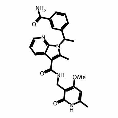 COc1cc(C)[nH]c(=O)c1CNC(=O)c1c(C)n(C(C)c2cccc(C(N)=O)c2)c2ncccc12